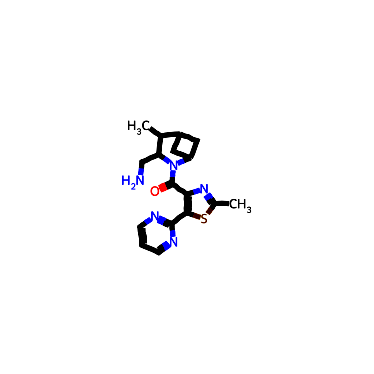 Cc1nc(C(=O)N2C3CC(C3)C(C)C2CN)c(-c2ncccn2)s1